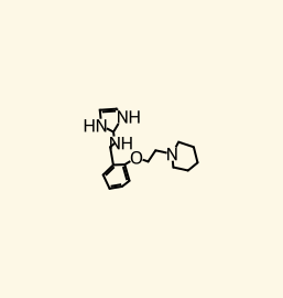 C1=CNC(NCc2ccccc2OCCN2CCCCC2)N1